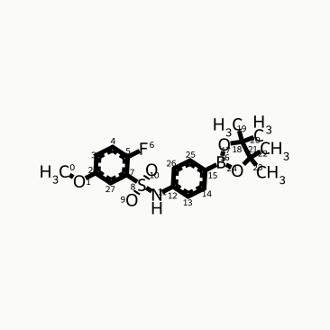 COc1ccc(F)c(S(=O)(=O)Nc2ccc(B3OC(C)(C)C(C)(C)O3)cc2)c1